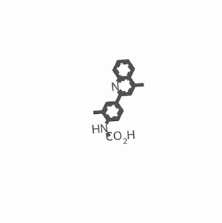 Cc1cc(-c2cc(C)c3ccccc3n2)ccc1NC(=O)O